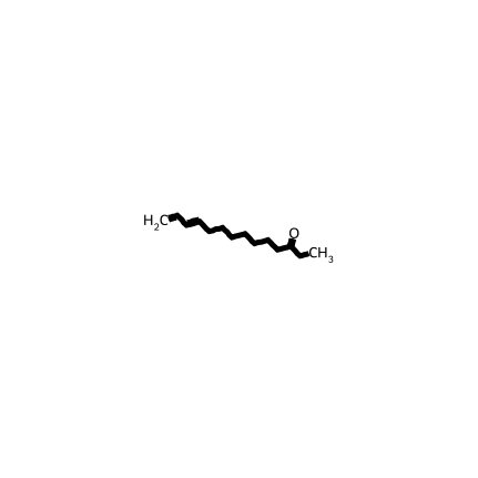 C=CC=CCCCCCCCC(=O)CC